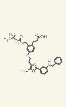 Cc1oc(-c2cccc(NCc3ccccc3)c2)nc1CCOc1ccc(CCC(=O)O)c(CNC(=O)OC(C)C)c1